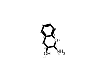 NC1Oc2ccccc2CC1O